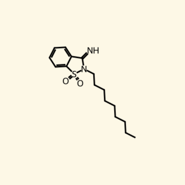 CCCCCCCCCN1C(=N)c2ccccc2S1(=O)=O